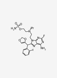 CC(C)N(CCOS(N)(=O)=O)CCn1c(C(C2=COCO2)c2ccccc2I)nc2c(N)nc(F)nc21